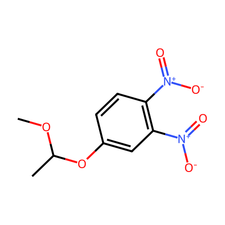 COC(C)Oc1ccc([N+](=O)[O-])c([N+](=O)[O-])c1